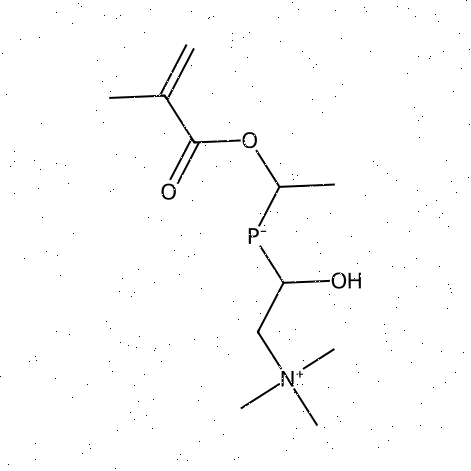 C=C(C)C(=O)OC(C)[P-]C(O)C[N+](C)(C)C